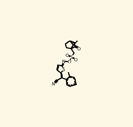 Cc1ccccc1/C(C#N)=C1C=C/C(=N/OS(=O)(=O)CC23CCC(CC2=O)C3(C)C)S/1